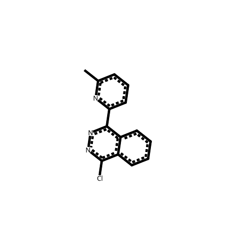 Cc1cccc(-c2nnc(Cl)c3ccccc23)n1